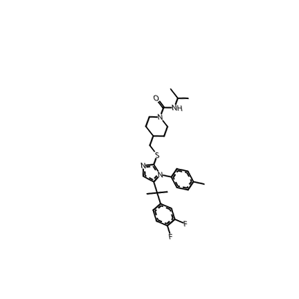 Cc1ccc(-n2c(C(C)(C)c3ccc(F)c(F)c3)cnc2SCC2CCN(C(=O)NC(C)C)CC2)cc1